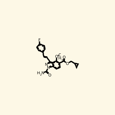 COc1c(C(=O)OCC2CC2)ccc2c1c(C=Cc1ccc(F)cc1)nn2C(N)=O